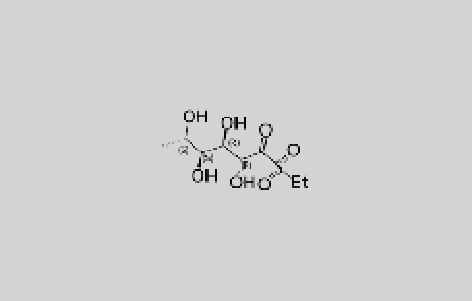 CCS(=O)(=O)C(=O)[C@H](O)[C@H](O)[C@@H](O)[C@H](C)O